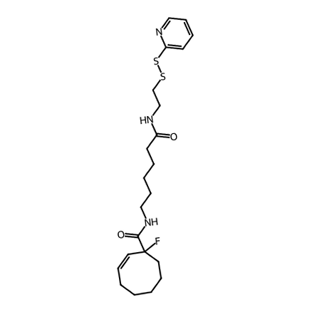 O=C(CCCCCNC(=O)C1(F)/C=C\CCCCC1)NCCSSc1ccccn1